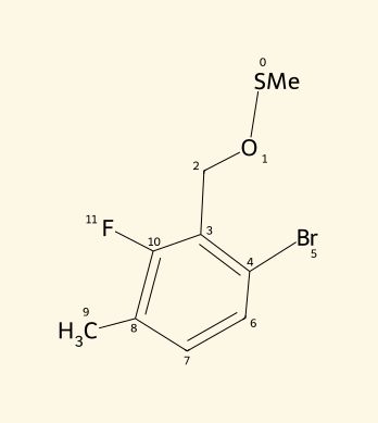 CSOCc1c(Br)ccc(C)c1F